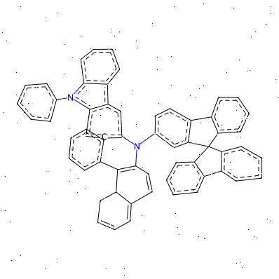 C1=CCC2C(=C1)C=CC(N(c1ccc3c(c1)C1(c4ccccc4-c4ccccc41)c1ccccc1-3)c1ccc3c(c1)c1ccccc1n3-c1ccccc1)=C2c1ccccc1